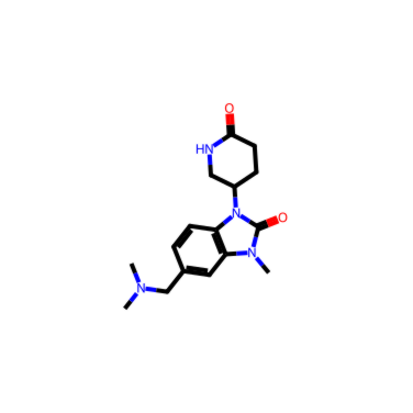 CN(C)Cc1ccc2c(c1)n(C)c(=O)n2C1CCC(=O)NC1